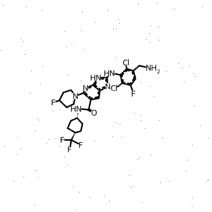 NCc1cc(F)c(Cl)c(Nc2nc3cc(C(=O)N[C@H]4CC[C@H](C(F)(F)F)CC4)c(N4CCC(F)CC4)nc3[nH]2)c1Cl